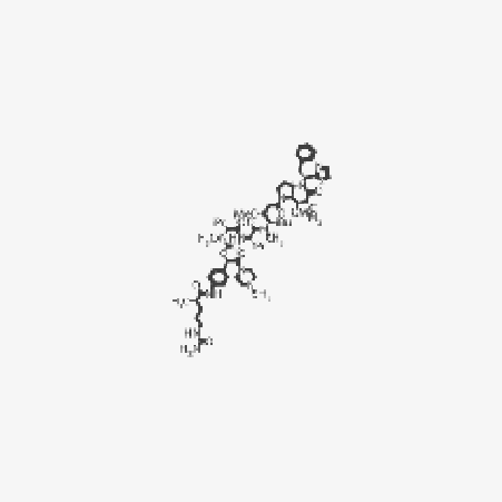 CC[C@H](C)[C@@H]([C@@H](CC(=O)N1CCC[C@H]1[C@H](OC)[C@@H](C)C(=O)N[C@@H](Cc1ccccc1)c1nccs1)OC)N(C)C(=O)[C@@H](NC(=O)[C@H](C(C)C)N(C)C(=O)OC(C(=O)N1CCN(C)CC1)c1ccc(NC(=O)[C@@H](C)CCCNC(N)=O)cc1)C(C)C